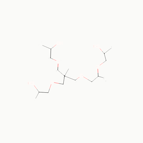 CCC(O)COCC(CC)(COCC(O)CC)COCC(CC)OCC(O)CC